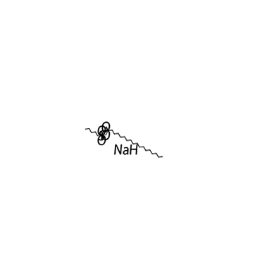 CCCCCCCCCCCCCCCCCC(=O)OS(=O)(=O)CCCCC.[NaH]